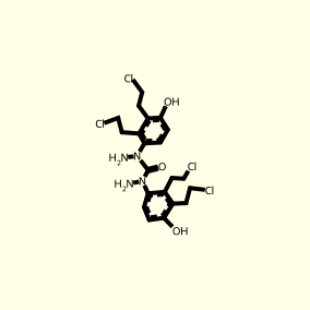 NN(C(=O)N(N)c1ccc(O)c(CCCl)c1CCCl)c1ccc(O)c(CCCl)c1CCCl